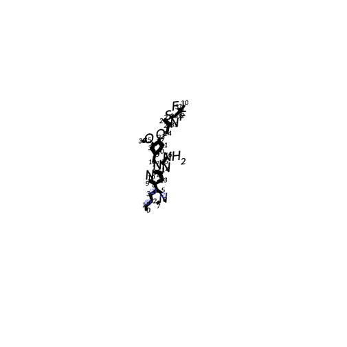 C/C=C/C=C(\C=N/C)c1cnc2c(c1)nc(N)n2Cc1ccc(OCc2csc(C(C)(F)F)n2)c(OC)c1